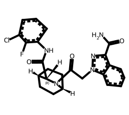 NC(=O)c1nn(CC(=O)N2[C@H]3CC[C@H](CC3)[C@@H]2C(=O)Nc2cccc(Cl)c2F)c2ccccc12